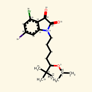 C[SiH](C)OC(CCCCN1C(=O)C(=O)c2c(Br)cc(I)cc21)C(C)(C)C